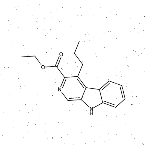 CCCc1c(C(=O)OCC)ncc2[nH]c3ccccc3c12